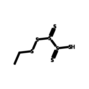 CCSSS(=S)S(=S)S